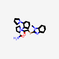 Cn1c(SCC(=O)[N+]2(c3ccccc3-n3cccc3)CCC[C@H]2C(N)=O)nc2ccccc21